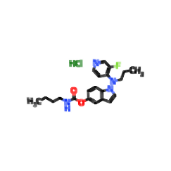 CCCCNC(=O)Oc1ccc2c(ccn2N(CCC)c2ccncc2F)c1.Cl